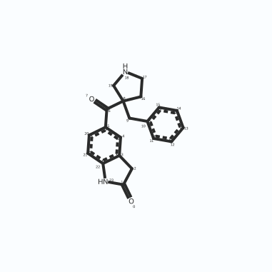 O=C1Cc2cc(C(=O)C3(Cc4ccccc4)CCNC3)ccc2N1